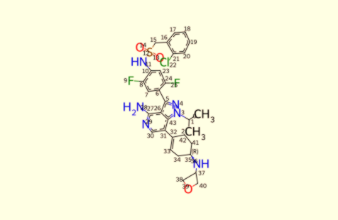 CC(C)n1nc(-c2cc(F)c(NS(=O)(=O)Cc3ccccc3Cl)cc2F)c2c(N)ncc(C3=CC[C@H](NC4COC4)CC3)c21